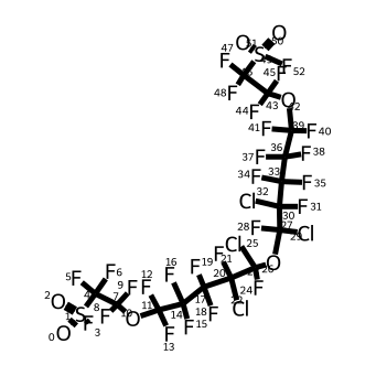 O=S(=O)(F)C(F)(F)C(F)(F)OC(F)(F)C(F)(F)C(F)(F)C(F)(Cl)C(F)(Cl)OC(F)(Cl)C(F)(Cl)C(F)(F)C(F)(F)C(F)(F)OC(F)(F)C(F)(F)S(=O)(=O)F